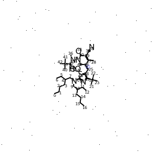 CCCCC(CC)CN(CC(CC)CCCC)c1nc(C(C)(C)C)c(/C=C2/C(C)=C(C#N)C(=O)N(N(C)C(=O)C(C)(C)C)C2O)s1